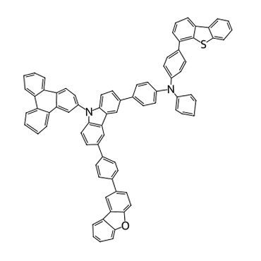 c1ccc(N(c2ccc(-c3ccc4c(c3)c3cc(-c5ccc(-c6ccc7oc8ccccc8c7c6)cc5)ccc3n4-c3ccc4c5ccccc5c5ccccc5c4c3)cc2)c2ccc(-c3cccc4c3sc3ccccc34)cc2)cc1